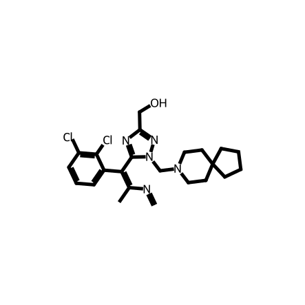 C=N/C(C)=C(/c1cccc(Cl)c1Cl)c1nc(CO)nn1CN1CCC2(CCCC2)CC1